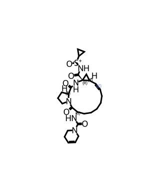 O=C1N[C@]2(C(=O)N[S+]([O-])C3CC3)C[C@H]2/C=C\CCCCC[C@H](NC(=O)N2CC=CCC2)C(=O)N2CCC[C@@H]12